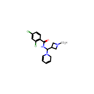 O=C(NC(C1CN(C(=O)O)C1)N1C=CC=CC1)c1ccc(Cl)cc1Cl